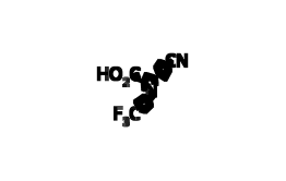 N#Cc1ccc([C@H]2C[C@H](CC(=O)O)CN(Cc3ccc(C(F)(F)F)cc3)C2)cc1